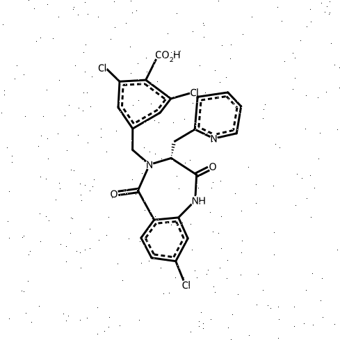 O=C(O)c1c(Cl)cc(CN2C(=O)c3ccc(Cl)cc3NC(=O)[C@H]2Cc2ccccn2)cc1Cl